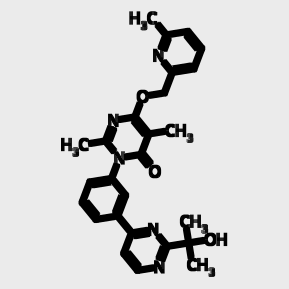 Cc1cccc(COc2nc(C)n(-c3cccc(-c4ccnc(C(C)(C)O)n4)c3)c(=O)c2C)n1